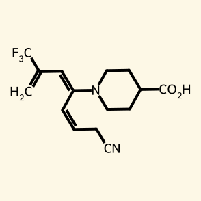 C=C(/C=C(\C=C/CC#N)N1CCC(C(=O)O)CC1)C(F)(F)F